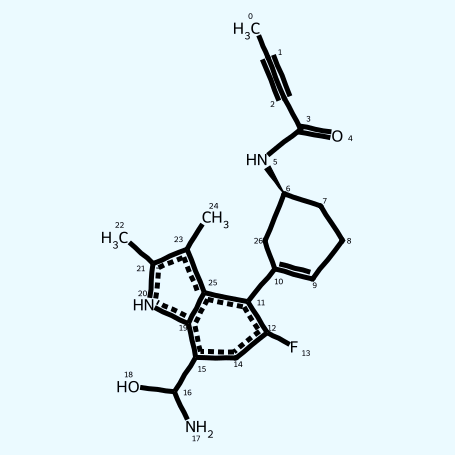 CC#CC(=O)N[C@H]1CCC=C(c2c(F)cc(C(N)O)c3[nH]c(C)c(C)c23)C1